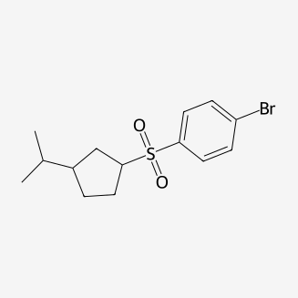 CC(C)C1CCC(S(=O)(=O)c2ccc(Br)cc2)C1